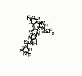 O=C(Nc1cn2nc(-c3c(-c4ccc(F)cc4)ncn3CC(F)(F)F)ccc2n1)c1ccnc(F)c1